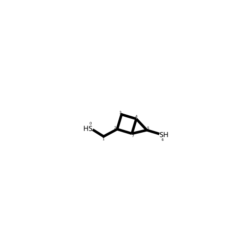 SCC1CC2C(S)C12